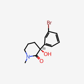 CN1CCC[C@](O)(c2cccc(Br)c2)C1=O